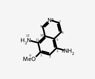 COc1cc(N)c2ccncc2c1N